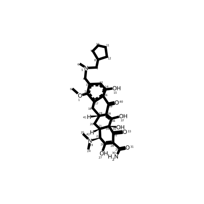 COc1c(CN(C)CC2CCCC2)cc(O)c2c1C[C@H]1C[C@H]3[C@H](N(C)C)C(O)=C(C(N)=O)C(=O)[C@@]3(O)C(O)=C1C2=O